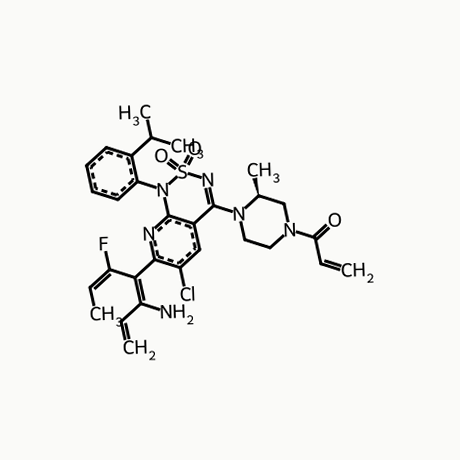 C=CC(=O)N1CCN(C2=NS(=O)(=O)N(c3ccccc3C(C)C)c3nc(C(/C(F)=C\C)=C(\N)C=C)c(Cl)cc32)[C@@H](C)C1